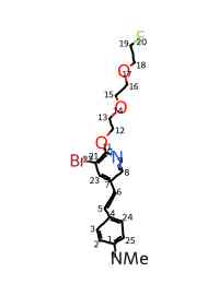 CNc1ccc(C=Cc2cnc(OCCOCCOCCF)c(Br)c2)cc1